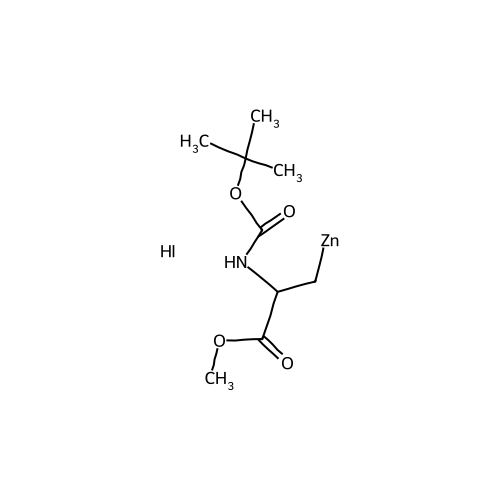 COC(=O)C([CH2][Zn])NC(=O)OC(C)(C)C.I